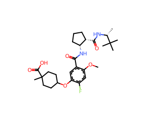 COc1cc(F)c(OC2CCC(C)(C(=O)O)CC2)cc1C(=O)N[C@@H]1CCC[C@@H]1C(=O)N[C@H](C)C(C)(C)C